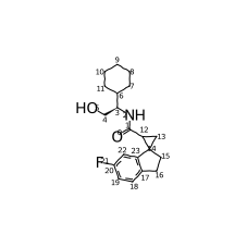 O=C(N[C@@H](CO)C1CCCCC1)C1CC12CCc1ccc(F)cc12